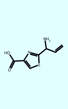 C=CC(N)c1nc(C(=O)O)cs1